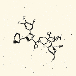 O=C(c1cc(-c2cccnc2)n(-c2cc(F)c(F)c(F)c2)n1)N1CCC2(CC1)C(=O)NCN2c1c(F)cc(F)cc1F